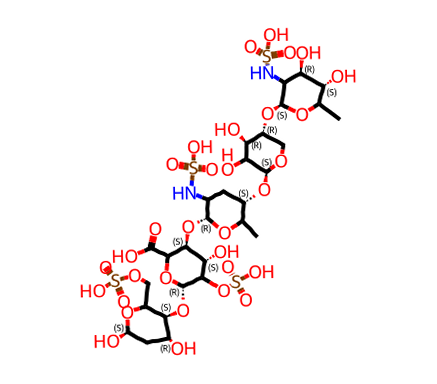 CC1O[C@H](O[C@@H]2C(C(=O)O)O[C@@H](O[C@@H]3C(COS(=O)(=O)O)O[C@H](O)C[C@H]3O)C(OS(=O)(=O)O)[C@H]2O)C(NS(=O)(=O)O)C[C@@H]1O[C@@H]1OC[C@@H](O[C@@H]2OC(C)[C@@H](O)[C@H](O)C2NS(=O)(=O)O)[C@H](O)C1O